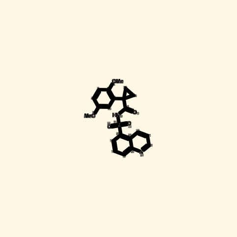 COc1ccc(OC)c(C2(C(=O)NS(=O)(=O)c3cccc4ncccc34)CC2)c1